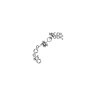 CC(C)(C)OC(=O)N1CCC(c2nnn(CCOc3ccc(Oc4nc5ccccc5s4)cc3)n2)CC1